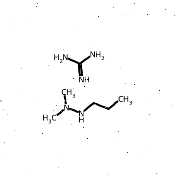 CCCNN(C)C.N=C(N)N